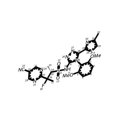 COc1cccc(OC)c1-n1c(NS(=O)(=O)[C@@H](C)C(C)(F)c2ncc(C#N)cn2)nnc1-c1nc(C)cs1